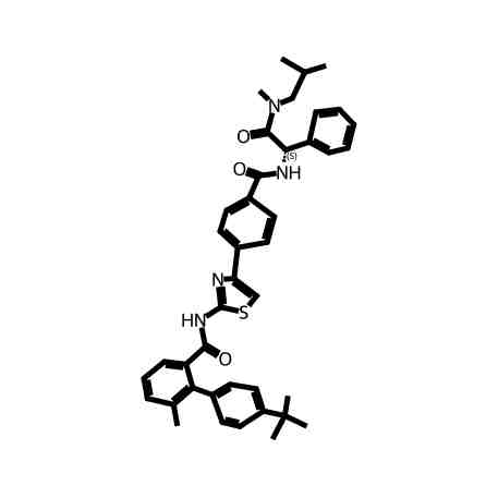 Cc1cccc(C(=O)Nc2nc(-c3ccc(C(=O)N[C@H](C(=O)N(C)CC(C)C)c4ccccc4)cc3)cs2)c1-c1ccc(C(C)(C)C)cc1